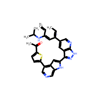 C=C/C(=C\C(=C/C)c1cnc2[nH]nc(-c3cc4c(-c5ccc(C(C)=O)s5)cncc4[nH]3)c2c1)NC(C)C